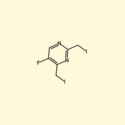 Fc1cnc(CI)nc1CI